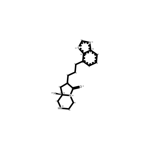 O=C1C(CCCc2cccc3ncsc23)C[C@H]2CNCCN12